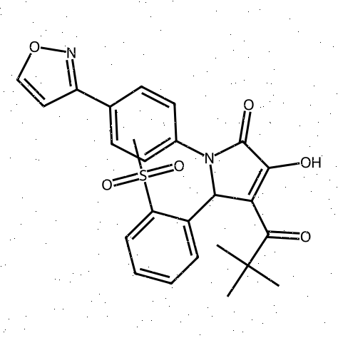 CC(C)(C)C(=O)C1=C(O)C(=O)N(c2ccc(-c3ccon3)cc2)C1c1ccccc1S(C)(=O)=O